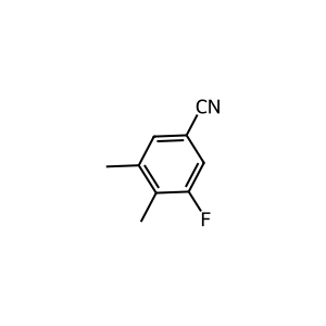 Cc1cc(C#N)cc(F)c1C